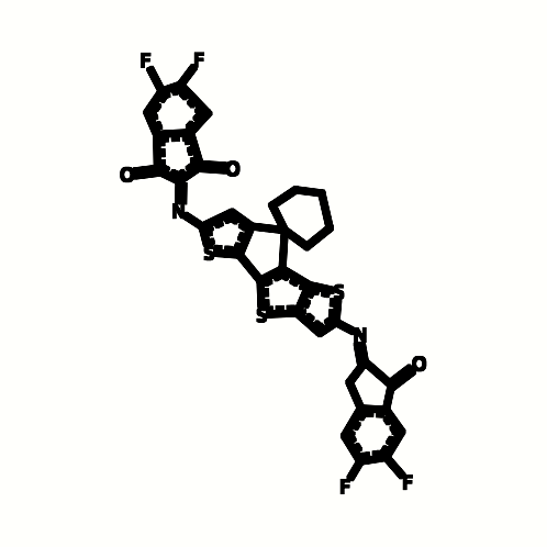 O=C1/C(=N/c2cc3sc4c(c3s2)C2(CCCCC2)c2cc(N=c3c(=O)c5cc(F)c(F)cc5c3=O)sc2-4)Cc2cc(F)c(F)cc21